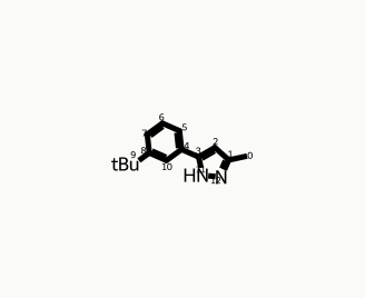 Cc1cc(-c2cccc(C(C)(C)C)c2)[nH]n1